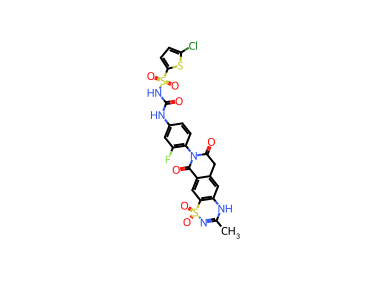 CC1=NS(=O)(=O)c2cc3c(cc2N1)CC(=O)N(c1ccc(NC(=O)NS(=O)(=O)c2ccc(Cl)s2)cc1F)C3=O